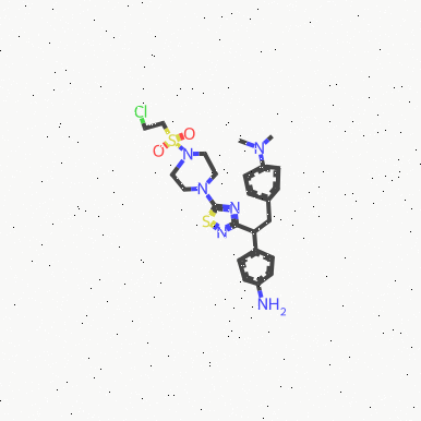 CN(C)c1ccc(CC(c2ccc(N)cc2)c2nsc(N3CCN(S(=O)(=O)CCCl)CC3)n2)cc1